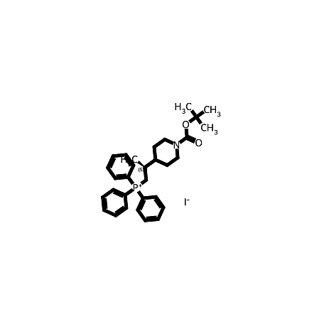 C[C@H](C[P+](c1ccccc1)(c1ccccc1)c1ccccc1)C1CCN(C(=O)OC(C)(C)C)CC1.[I-]